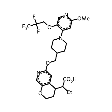 CCC(C(=O)O)C1CCOc2cnc(OCC3CCN(c4cc(OC)ncc4OCC(F)(F)C(F)(F)F)CC3)cc21